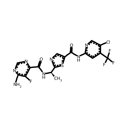 C[C@@H](NC(=O)c1ncnc(N)c1F)c1ncc(C(=O)Nc2cc(C(F)(F)F)c(Cl)cn2)s1